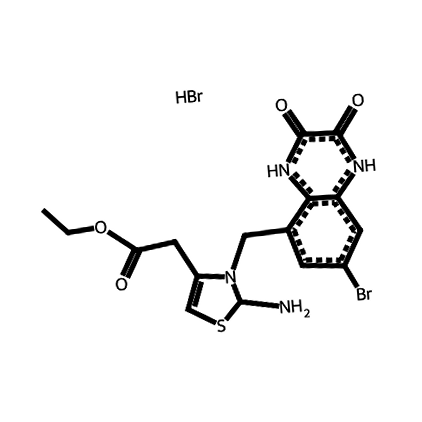 Br.CCOC(=O)CC1=CSC(N)N1Cc1cc(Br)cc2[nH]c(=O)c(=O)[nH]c12